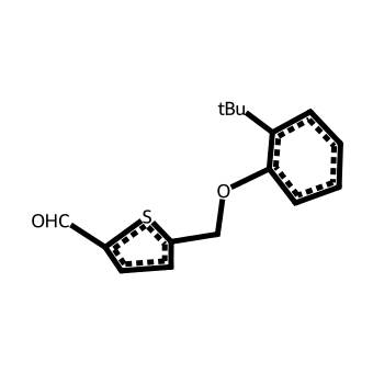 CC(C)(C)c1ccccc1OCc1ccc(C=O)s1